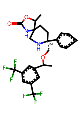 CC(OC[C@@]1(c2ccccc2)CCC2(CN1)NC(=O)OC2C)c1cc(C(F)(F)F)cc(C(F)(F)F)c1